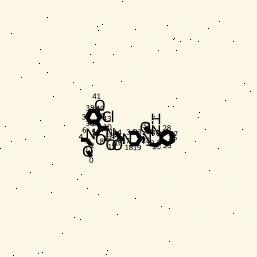 COCC(C)N(C)C(=O)/C(=C\N(C=O)CC(=O)N1CCC(N2CCc3ccccc3NC2=O)CC1)c1cccc(OC)c1Cl